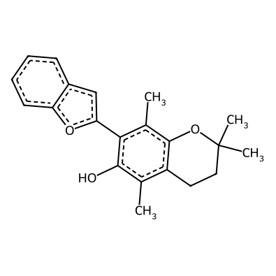 Cc1c(O)c(-c2cc3ccccc3o2)c(C)c2c1CCC(C)(C)O2